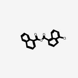 O=C(OC(=O)c1cccc2c(Cl)cccc12)c1cccc2ccccc12